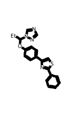 CCC(Oc1ccc(-c2csc(-c3ccccc3)n2)cc1)n1cncn1